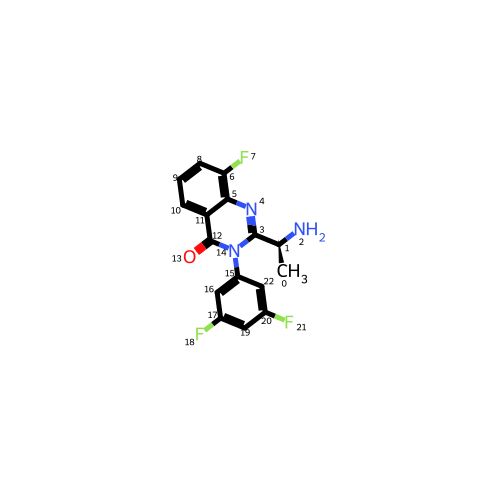 C[C@H](N)c1nc2c(F)cccc2c(=O)n1-c1cc(F)cc(F)c1